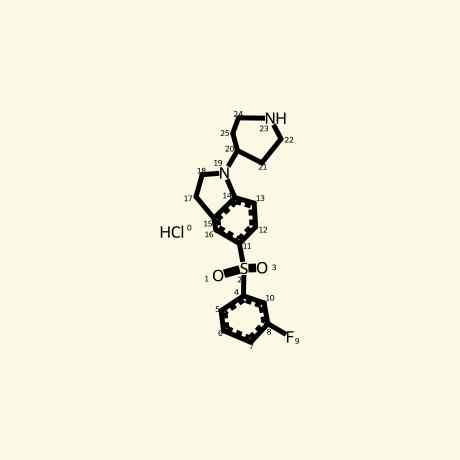 Cl.O=S(=O)(c1cccc(F)c1)c1ccc2c(c1)CCN2C1CCNCC1